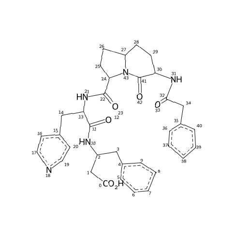 O=C(O)CC(Cc1ccccc1)NC(=O)C(Cc1ccncc1)NC(=O)C1CCC2CCC(NC(=O)Cc3ccccc3)C(=O)N21